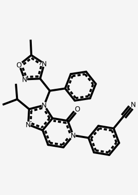 Cc1nc(C(c2ccccc2)n2c(C(C)C)nc3ccn(-c4cccc(C#N)c4)c(=O)c32)no1